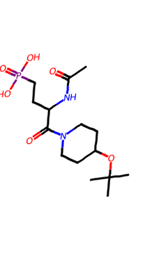 CC(=O)NC(CCP(=O)(O)O)C(=O)N1CCC(OC(C)(C)C)CC1